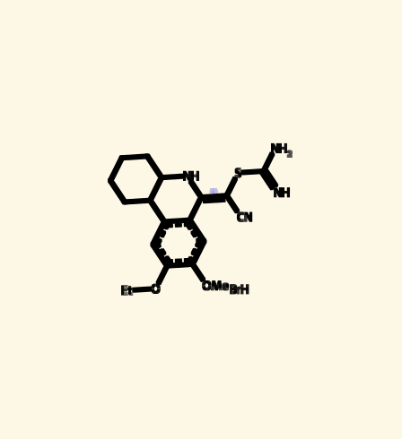 Br.CCOc1cc2c(cc1OC)/C(=C(\C#N)SC(=N)N)NC1CCCCC21